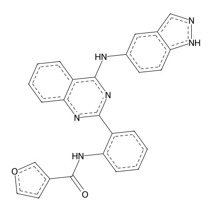 O=C(Nc1ccccc1-c1nc(Nc2ccc3[nH]ncc3c2)c2ccccc2n1)c1ccoc1